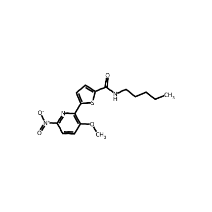 CCCCCNC(=O)c1ccc(-c2nc([N+](=O)[O-])ccc2OC)s1